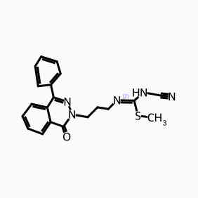 CS/C(=N\CCCn1nc(-c2ccccc2)c2ccccc2c1=O)NC#N